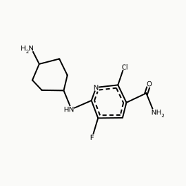 NC(=O)c1cc(F)c(NC2CCC(N)CC2)nc1Cl